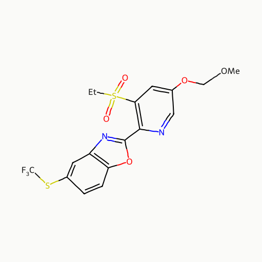 CCS(=O)(=O)c1cc(OCOC)cnc1-c1nc2cc(SC(F)(F)F)ccc2o1